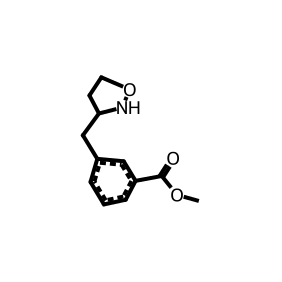 COC(=O)c1cccc(CC2CCON2)c1